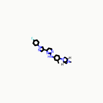 Cc1cc(Nc2nccc(-c3cnn(-c4ccc(F)cc4)c3)n2)ccc1N1C[C@@H]2C[C@H]1CN2C